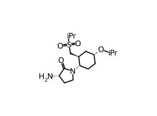 CC(C)O[C@@H]1CC[C@H](N2CC[C@H](N)C2=O)[C@@H](CS(=O)(=O)C(C)C)C1